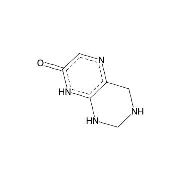 O=c1cnc2c([nH]1)NCNC2